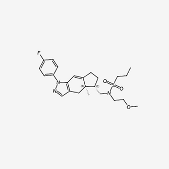 CCCS(=O)(=O)N(CCOC)C[C@H]1CCC2=Cc3c(cnn3-c3ccc(F)cc3)C[C@@]21C